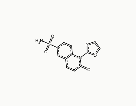 NS(=O)(=O)c1ccc2c(ccc(=O)n2-c2ncco2)c1